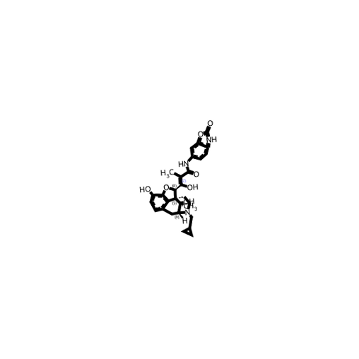 C/C(C(=O)Nc1ccc2[nH]c(=O)oc2c1)=C(/O)[C@@H]1Oc2c(O)ccc3c2[C@@]12CCN(CC1CC1)[C@H](C3)[C@@]2(C)O